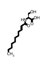 CCCCCCCCC=CC(=O)N[C@@H](CO)C(=O)O